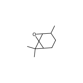 CC1CCC2C(C)(C)C23OC13